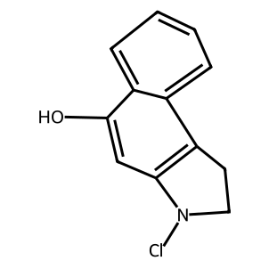 Oc1cc2c(c3ccccc13)CCN2Cl